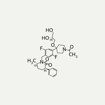 CC(=O)N1CCC(OC[C@H](O)CO)(c2cc(F)c(CN3[C@@H](C)CC[C@H](c4ccccc4)S3(=O)=O)cc2F)CC1